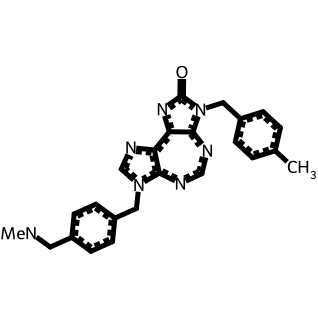 CNCc1ccc(Cn2cnc3c4nc(=O)n(Cc5ccc(C)cc5)c-4ncnc32)cc1